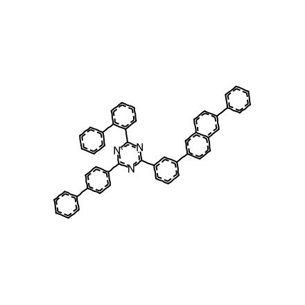 c1ccc(-c2ccc(-c3nc(-c4cccc(-c5ccc6cc(-c7ccccc7)ccc6c5)c4)nc(-c4ccccc4-c4ccccc4)n3)cc2)cc1